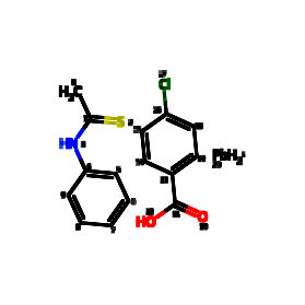 CC(=S)Nc1ccccc1.O=C(O)c1ccc(Cl)cc1.[PbH2]